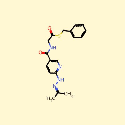 CC(C)=NNc1ccc(C(=O)NCC(=O)SCc2ccccc2)cn1